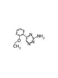 CCOc1ccccc1-c1cnnc(N)n1